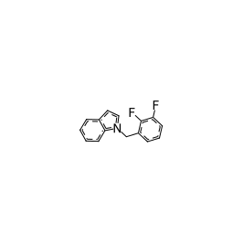 Fc1cccc(Cn2ccc3ccccc32)c1F